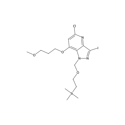 COCCCOc1cc(Cl)nc2c(I)nn(COCC[Si](C)(C)C)c12